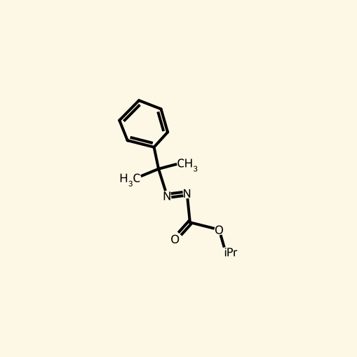 CC(C)OC(=O)/N=N/C(C)(C)c1ccccc1